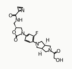 O=C(NC[C@H]1CN(c2ccc(N3C[C@H]4CN(C(=O)CO)C[C@H]4C3)c(F)c2)C(=O)O1)C1=NC=C1